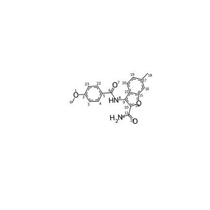 COc1ccc(C(=O)Nc2c(C(N)=O)oc3cc(C)ccc23)cc1